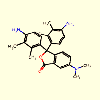 Cc1c(N)ccc(C2(c3ccc(N)c(C)c3C)OC(=O)c3cc(N(C)C)ccc32)c1C